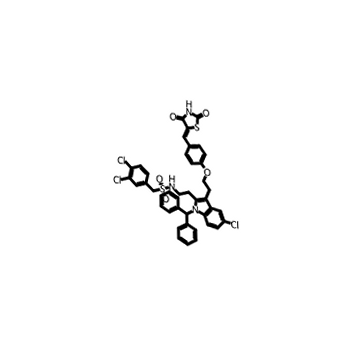 O=C1NC(=O)C(=Cc2ccc(OCCc3c(CCNS(=O)(=O)Cc4ccc(Cl)c(Cl)c4)n(C(c4ccccc4)c4ccccc4)c4ccc(Cl)cc34)cc2)S1